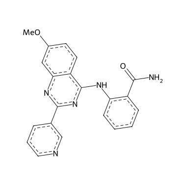 COc1ccc2c(Nc3ccccc3C(N)=O)nc(-c3cccnc3)nc2c1